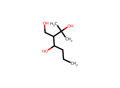 CCCC(O)C(CO)C(C)(C)O